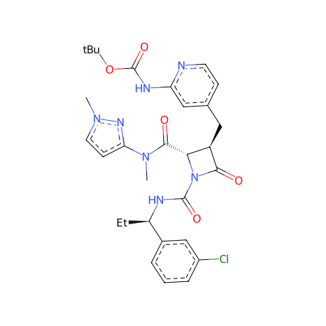 CC[C@@H](NC(=O)N1C(=O)[C@H](Cc2ccnc(NC(=O)OC(C)(C)C)c2)[C@H]1C(=O)N(C)c1ccn(C)n1)c1cccc(Cl)c1